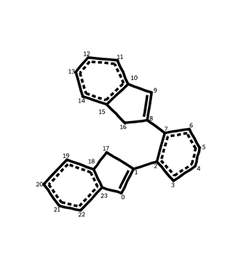 C1=C(c2ccccc2C2=Cc3ccccc3C2)Cc2ccccc21